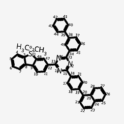 C[Si]1(C)c2ccccc2-c2ccc(-c3nc(-c4ccc(-c5cccc6ccccc56)cc4)nc(-c4cccc(-c5ccccc5)c4)n3)cc21